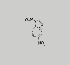 O=[N+]([O-])c1ccc2c([N+](=O)[O-])cnn2c1